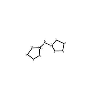 C1CCN(SN2CCCC2)C1